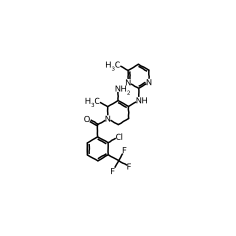 Cc1ccnc(NC2=C(N)C(C)N(C(=O)c3cccc(C(F)(F)F)c3Cl)CC2)n1